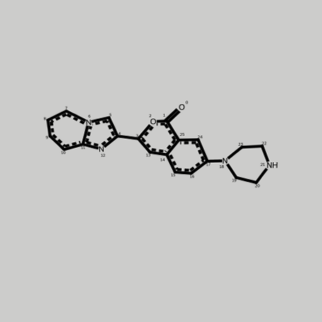 O=c1oc(-c2cn3ccccc3n2)cc2ccc(N3CCNCC3)cc12